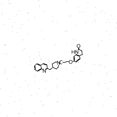 O=C1CCc2ccc(OCCCN3CCC(Cc4ccc5ccccc5n4)CC3)cc2N1